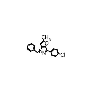 Cc1cc2c(o1)c(-c1ccc(Cl)cc1)nn2Cc1ccccc1